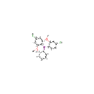 COc1cc(F)ccc1P(c1ccccc1)c1ccc(F)cc1OC